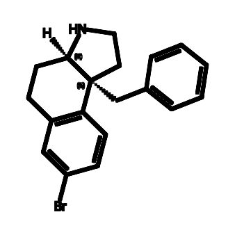 Brc1ccc2c(c1)CC[C@H]1NCC[C@@]21Cc1ccccc1